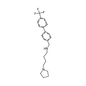 FC(F)(F)c1ccc(-c2ccc(CNCCCCN3CCCC3)cc2)cc1